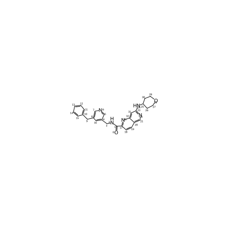 O=C(NCc1cncc(Cc2ccccc2)c1)c1ccc2cnc(NC3CCOCC3)cc2n1